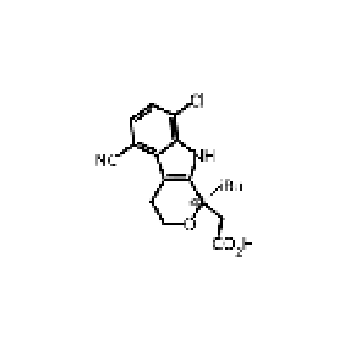 CCC(C)[C@]1(CC(=O)O)OCCc2c1[nH]c1c(Cl)ccc(C#N)c21